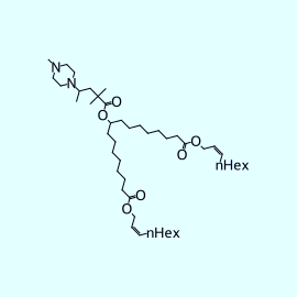 CCCCCC/C=C\COC(=O)CCCCCCCC(CCCCCCCC(=O)OC/C=C\CCCCCC)OC(=O)C(C)(C)CC(C)N1CCN(C)CC1